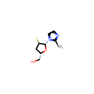 O=[N+]([O-])c1nccn1[C@@H]1O[C@H](CO)C[C@H]1F